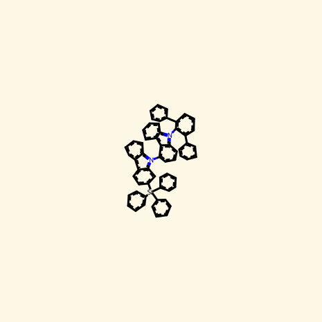 c1ccc(-c2cccc(-c3ccccc3)c2-n2c3ccccc3c3c(-n4c5ccccc5c5ccc([Si](c6ccccc6)(c6ccccc6)c6ccccc6)cc54)cccc32)cc1